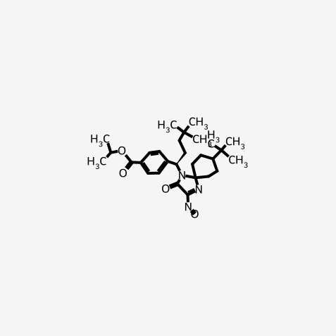 CC(C)OC(=O)c1ccc([C@@H](CCC(C)(C)C)N2C(=O)C(N=O)=NC23CCC(C(C)(C)C)CC3)cc1